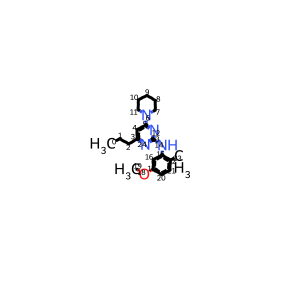 CCCc1cc(N2CCCCC2)nc(Nc2cc(OC)ccc2C)n1